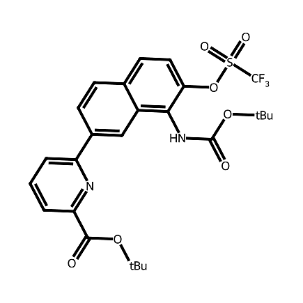 CC(C)(C)OC(=O)Nc1c(OS(=O)(=O)C(F)(F)F)ccc2ccc(-c3cccc(C(=O)OC(C)(C)C)n3)cc12